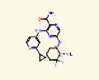 NC(=O)c1ncc(N[C@@H]2CCCC(F)(F)[C@@H]2N)nc1Nc1ccnc(C2CC2)c1